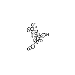 CCc1c(N2CCNCC2)c(=O)n2nc(-c3ccc4c(c3)COC4)nc2n1CC(=O)Nc1c(Cl)cc(C(F)(F)F)c2c1OCC2